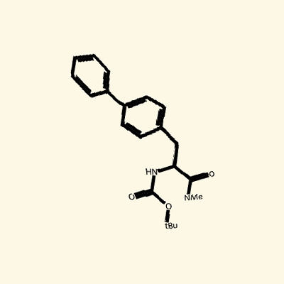 CNC(=O)C(Cc1ccc(-c2ccccc2)cc1)NC(=O)OC(C)(C)C